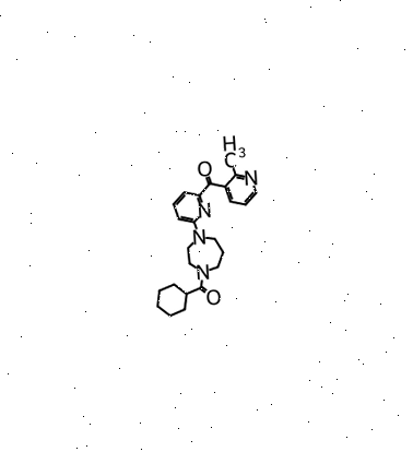 Cc1ncccc1C(=O)c1cccc(N2CCCN(C(=O)C3CCCCC3)CC2)n1